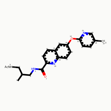 CC(=O)NCC(C)CNC(=O)c1ccc2cc(Oc3ccc(C(F)(F)F)cn3)ccc2n1